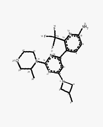 CC1CN(c2cc(-c3ccc(N)nc3C(F)(F)F)nc(N3CCOCC3C)n2)C1